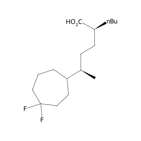 CCCC[C@@H](CC[C@@H](C)C1CCCC(F)(F)CC1)C(=O)O